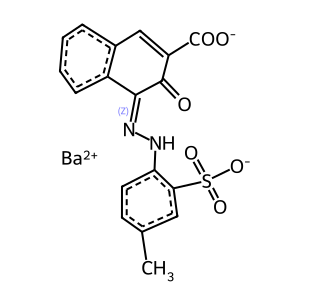 Cc1ccc(N/N=C2\C(=O)C(C(=O)[O-])=Cc3ccccc32)c(S(=O)(=O)[O-])c1.[Ba+2]